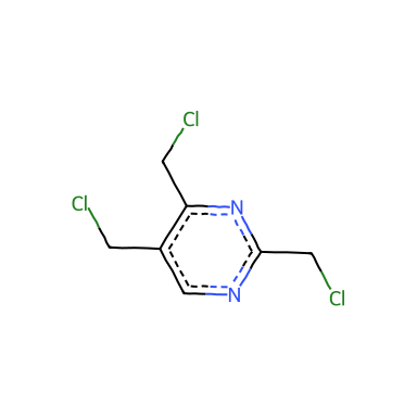 ClCc1ncc(CCl)c(CCl)n1